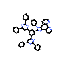 c1ccc(-c2cc(-c3cc(-c4cc(-c5ccccc5)nc(-c5ccccc5)n4)cc(-c4nc5c6cccnc6c6ncccc6c5n4-c4ccccc4)c3)nc(-c3ccccc3)n2)cc1